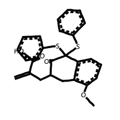 C=C(CC1Cc2c(OC)cccc2C(Sc2ccccc2)(Sc2ccccc2)C1=O)C(=O)O